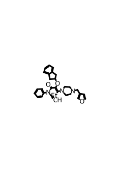 C#CN(C(=O)/C(OC1Cc2ccccc2C1)=C(\CC)N1CCN(Cc2ccoc2)CC1)c1ccccc1